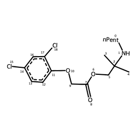 CCCCCNC(C)(C)COC(=O)COc1ccc(Cl)cc1Cl